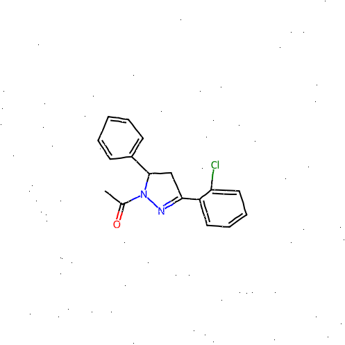 CC(=O)N1N=C(c2ccccc2Cl)CC1c1ccccc1